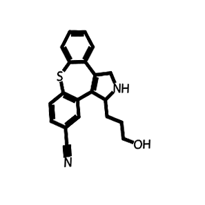 N#Cc1ccc2c(c1)C1=C(CNC1CCCO)c1ccccc1S2